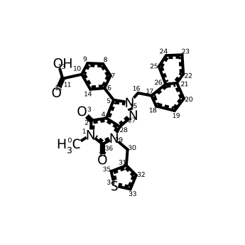 Cn1c(=O)c2c(-c3cccc(C(=O)O)c3)n(Cc3cccc4ccccc34)nc2n(Cc2ccsc2)c1=O